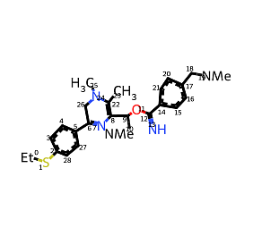 CCSc1ccc(C2=NC(C(NC)OC(=N)c3ccc(CNC)cc3)=C(C)N(C)C2)cc1